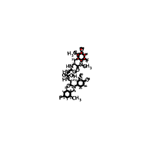 Cc1cc(F)cc(F)c1CN(C(=O)CNS(=O)(=O)NC(=O)N[C@@H](Cc1cc(F)cc(F)c1)C(=O)N(C)c1ccc(=O)n(C)c1)c1ccc(=O)n(C)c1